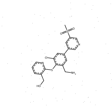 CS(=O)(=O)c1cncc(-c2cc(Cl)c(Sc3ncccc3CO)c(CN)c2)c1